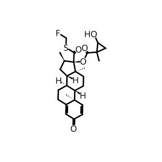 C[C@@H]1C[C@H]2[C@@H]3CCC4=CC(=O)C=C[C@]4(C)[C@H]3CC[C@]2(C)[C@@]1(OC(=O)C1(C)CC1O)C(=O)SCF